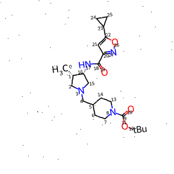 C[C@H]1CN(CC2CCN(C(=O)OC(C)(C)C)CC2)C[C@H]1NC(=O)c1cc(C2CC2)on1